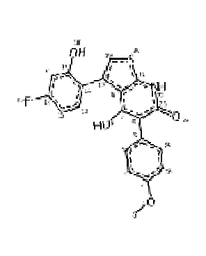 COc1ccc(-c2c(O)c3c(-c4ccc(F)cc4O)csc3[nH]c2=O)cc1